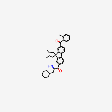 CCCC1(CCC)c2cc(C(=O)C(=N)CC3CCCCC3)ccc2-c2ccc(C(=O)c3ccccc3C)cc21